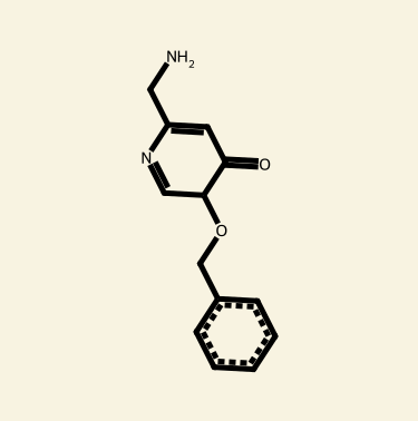 NCC1=CC(=O)C(OCc2ccccc2)C=N1